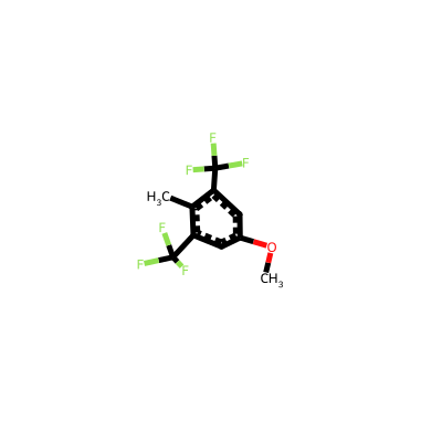 COc1cc(C(F)(F)F)c(C)c(C(F)(F)F)c1